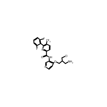 NCC(CCl)COc1ccncc1NC(=O)c1ccc(C(F)(F)F)c(-c2c(F)cccc2F)n1